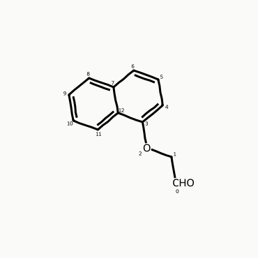 O=CCOc1cccc2ccccc12